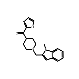 Cn1c(CN2CCC(C(=O)c3ncco3)CC2)cc2ccccc21